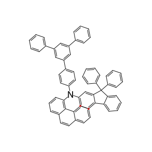 c1ccc(-c2cc(-c3ccccc3)cc(-c3ccc(N(c4ccc5c(c4)C(c4ccccc4)(c4ccccc4)c4ccccc4-5)c4cccc5ccc6ccccc6c45)cc3)c2)cc1